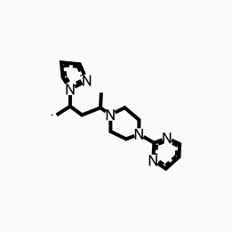 [CH2]C(CC(C)N1CCN(c2ncccn2)CC1)n1cccn1